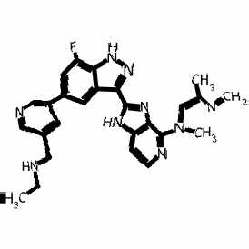 C=N/C(C)=C\N(C)c1nccc2[nH]c(-c3n[nH]c4c(F)cc(-c5cncc(CNCC)c5)cc34)nc12